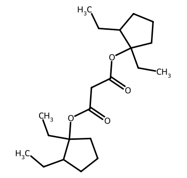 CCC1CCCC1(CC)OC(=O)CC(=O)OC1(CC)CCCC1CC